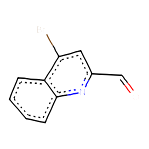 O=[C]c1cc(Br)c2ccccc2n1